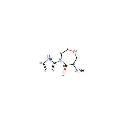 CNC1COCCN(c2ccc[nH]2)C1=O